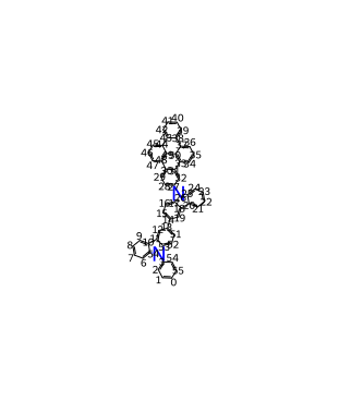 c1ccc(-n2c3ccccc3c3cc(-c4ccc5c(c4)c4ccccc4n5-c4ccc5c(c4)c4cccc6c7ccccc7c7cccc5c7c64)ccc32)cc1